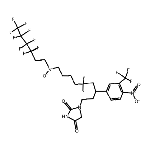 CC(C)(CCCC[S+]([O-])CCC(F)(F)C(F)(F)C(F)(F)C(F)(F)F)CC(CCN1CC(=O)NC1=O)c1ccc([N+](=O)[O-])c(C(F)(F)F)c1